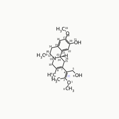 CO/C(C)=C(\CO)C1=C(C)CN2[C@H](C)Cc3cc(OC)c(O)cc3[C@@H]2C1